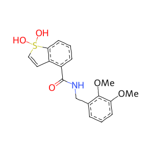 COc1cccc(CNC(=O)c2cccc3c2C=CS3(O)O)c1OC